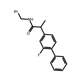 CC(C)CNC(=O)C(C)c1ccc(-c2ccccc2)c(F)c1